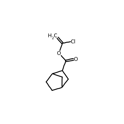 C=C(Cl)OC(=O)C1CC2CCC1C2